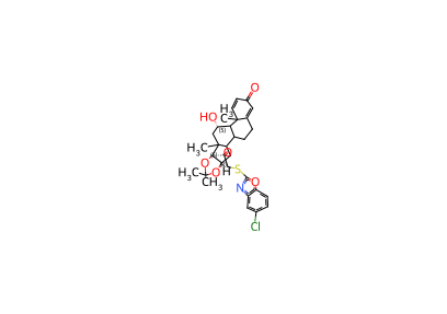 CC1(C)O[C@@H]2CC3C4CCC5=CC(=O)C=CC5(C)C4[C@@H](O)CC3(C)[C@]2(C(=O)CSc2nc3cc(Cl)ccc3o2)O1